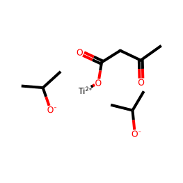 CC(=O)CC(=O)[O][Ti+2].CC(C)[O-].CC(C)[O-]